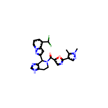 Cc1c(-c2ncc(C(=O)N3CCc4[nH]cnc4C3c3cc4c(C(F)F)cccn4n3)o2)cnn1C